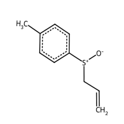 C=CC[S+]([O-])c1ccc(C)cc1